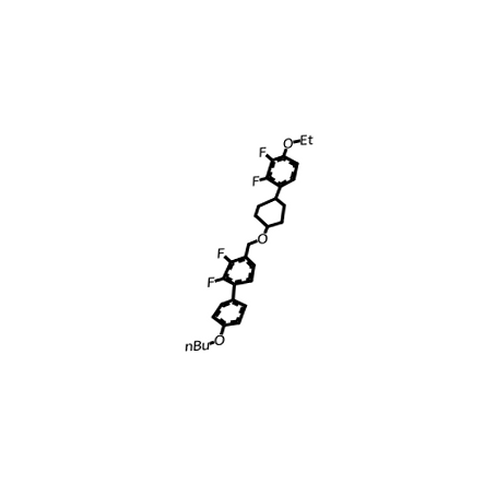 CCCCOc1ccc(-c2ccc(COC3CCC(c4ccc(OCC)c(F)c4F)CC3)c(F)c2F)cc1